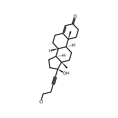 C[C@]12CCC(=O)C=C1CC[C@@H]1[C@@H]2CC[C@@]2(C)[C@H]1CC[C@@]2(O)C#CCCCl